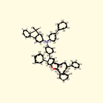 CC1(C)c2ccccc2-c2ccc(N(c3ccc(-c4ccccc4)cc3)c3ccc(-c4cc5c(cc4-c4ccccc4)oc4c6ccccc6c(-c6ccccc6)cc54)cc3)cc21